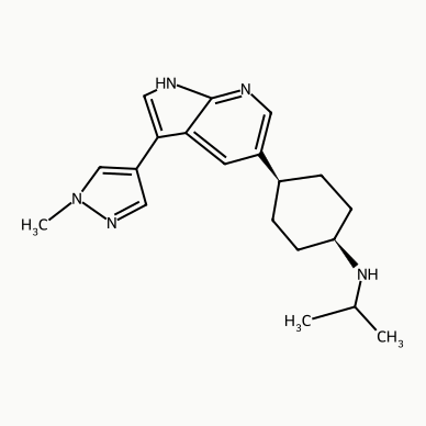 CC(C)N[C@H]1CC[C@@H](c2cnc3[nH]cc(-c4cnn(C)c4)c3c2)CC1